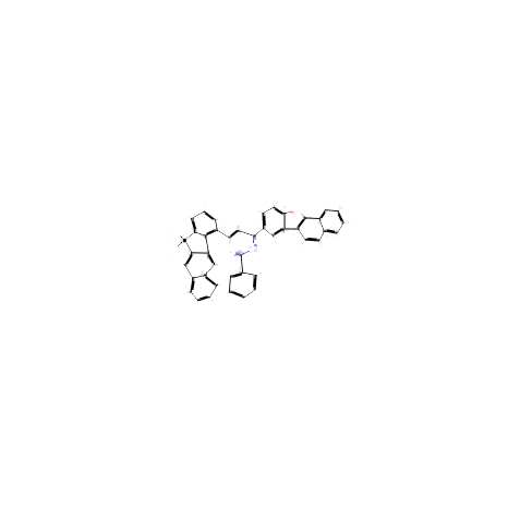 CC1(C)c2cc3ccccc3cc2-c2c(/C=C/C(NC(N)c3ccccc3)c3ccc4oc5c6ccccc6ccc5c4c3)cccc21